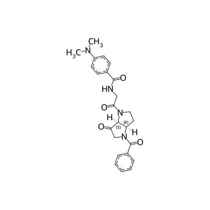 CN(C)c1ccc(C(=O)NCC(=O)N2CC[C@@H]3[C@H]2C(=O)CN3C(=O)c2ccccc2)cc1